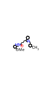 COc1ccccc1CNC(=O)CCCc1cn(Cc2cccc(C)c2)c2ccccc12